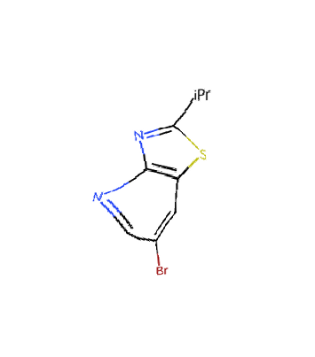 CC(C)c1nc2ncc(Br)cc2s1